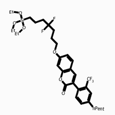 CCCCCc1ccc(-c2cc3ccc(OCCCC(F)(F)CCC[Si](OCC)(OCC)OCC)cc3oc2=O)c(C(F)(F)F)c1